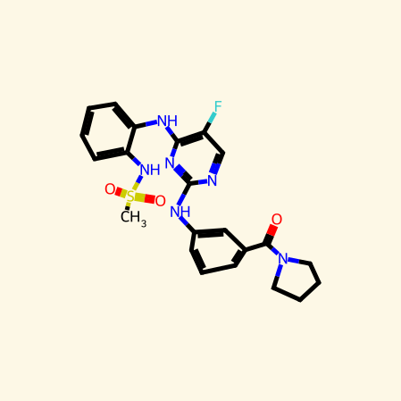 CS(=O)(=O)Nc1ccccc1Nc1nc(Nc2cccc(C(=O)N3CCCC3)c2)ncc1F